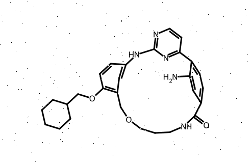 Nc1cc2ccc1-c1ccnc(n1)Nc1ccc(OCC3CCCCC3)c(c1)COCCCNC2=O